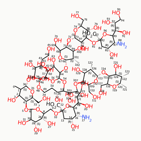 CC1C(O)[C@H](OC2OC(CO[C@]3(C(=O)O)C[C@@H](O)[C@@H](N)C([C@H](O)[C@H](O)CO)O3)[C@H](O)[C@H](O)C2O)[C@H](CO)O[C@H]1O[C@H](C(O)[C@H](O)CCO)[C@H](O)OCC[C@@H](O)C(O[C@H]1O[C@H](CO)[C@@H](O)C(O)C1O[C@@H]1OC(CO)[C@@H](O[C@@H]2OC(CO)[C@H](O)C(O[C@]3(C(=O)O)C[C@@H](O)[C@@H](N)C([C@H](O)[C@H](O)CO)O3)[C@@H]2O)C(O)[C@@H]1C)[C@@H](O)[C@@H](O)O[C@@H]1C(CO)O[C@@H](O[C@@H]2C(CO)O[C@@H](C)[C@@H](C)C2O)[C@@H](C)C1O